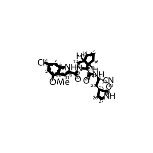 COc1cc(Cl)cc2[nH]c(C(=O)N3C[C@@H]4CCC[C@@H]4[C@H]3C(=O)N[C@H](C#N)C[C@@H]3CCNC3=O)cc12